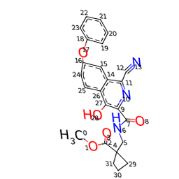 COC(=O)C1(CNC(=O)c2nc(C#N)c3cc(Oc4ccccc4)ccc3c2O)CCC1